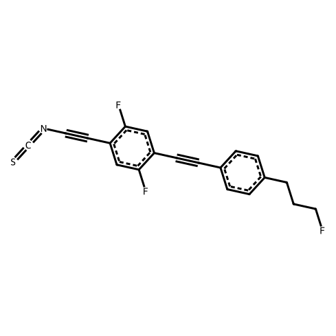 FCCCc1ccc(C#Cc2cc(F)c(C#CN=C=S)cc2F)cc1